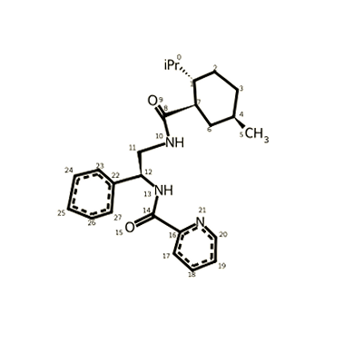 CC(C)[C@@H]1CC[C@@H](C)C[C@H]1C(=O)NC[C@@H](NC(=O)c1ccccn1)c1ccccc1